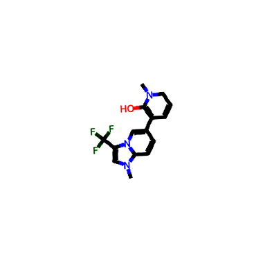 CN1CC=CC(C2=CN3C(C(F)(F)F)=CN(C)C3C=C2)=C1O